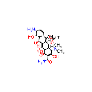 CCC(=O)O[C@@H]1[C@H]2[C@H](N(C)C)C(O)=C(C(N)=O)C(=O)[C@@]2(O)C(O)=C2C(=O)c3c(ccc(N)c3O)C(C)[C@H]21